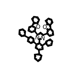 c1ccc(-c2ccc(-c3cc(-c4ccccc4)cc(-c4ccccc4)c3-c3nc(-c4cccc5c4oc4ccccc45)cc(-c4cccc5c4oc4ccccc45)n3)cc2)cc1